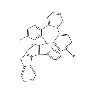 Cc1ccc2c(c1)C1(c3cc(Br)ccc3-c3ccccc3-2)c2ccccc2-c2c1ccc1sc3ccccc3c21